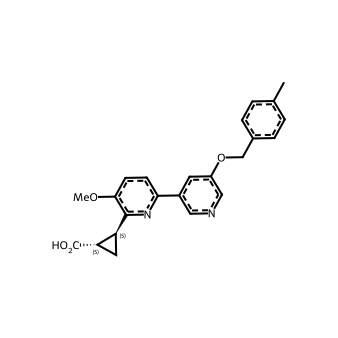 COc1ccc(-c2cncc(OCc3ccc(C)cc3)c2)nc1[C@H]1C[C@@H]1C(=O)O